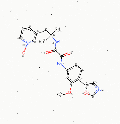 COc1cc(NC(=O)C(=O)NC(C)(C)Cc2ccc[n+]([O-])c2)ccc1-c1cnco1